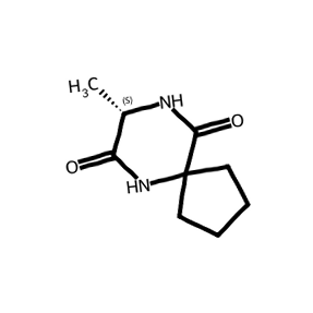 C[C@@H]1NC(=O)C2(CCCC2)NC1=O